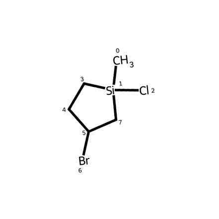 C[Si]1(Cl)CCC(Br)C1